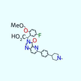 COCOc1ccc(F)cc1C(C(=O)O)n1cnc2ccc(-c3ccc(C4CCN(C)CC4)cc3)nc2c1=O